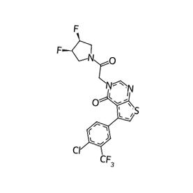 O=C(Cn1cnc2scc(-c3ccc(Cl)c(C(F)(F)F)c3)c2c1=O)N1C[C@@H](F)[C@@H](F)C1